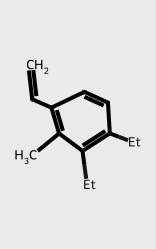 C=Cc1ccc(CC)c(CC)c1C